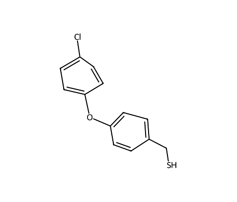 SCc1ccc(Oc2ccc(Cl)cc2)cc1